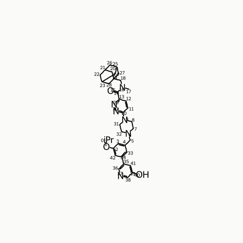 CC(C)Oc1cc(CN2CCN(c3ccc(C(=O)N(C)CC45CC6CC(CC(C6)C4)C5)nn3)CC2)cc(-c2cncc(O)c2)c1